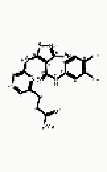 COC(=O)CCc1cncc(Nc2snc(C)c2C(=O)Nc2ccc(F)c(F)c2)n1